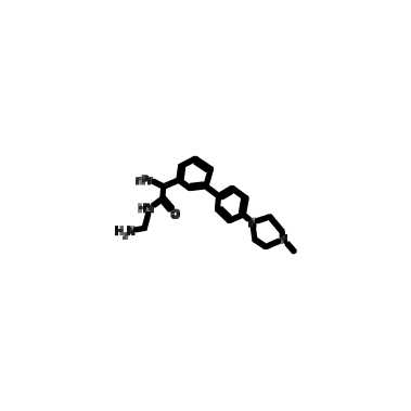 CCCC(C(=O)NCN)c1cccc(-c2ccc(N3CCN(C)CC3)cc2)c1